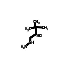 CC(C)(C)CCNN.Cl